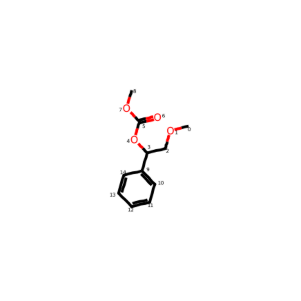 COCC(OC(=O)OC)c1ccccc1